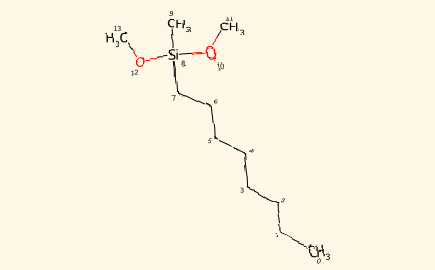 CCCCCCCC[Si](C)(OC)OC